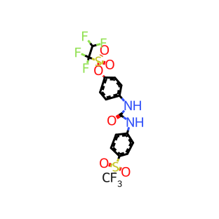 O=C(Nc1ccc(OS(=O)(=O)C(F)(F)C(F)F)cc1)Nc1ccc(S(=O)(=O)C(F)(F)F)cc1